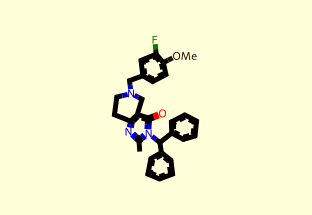 COc1ccc(CN2CCc3nc(C)n(C(c4ccccc4)c4ccccc4)c(=O)c3C2)cc1F